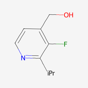 CC(C)c1nccc(CO)c1F